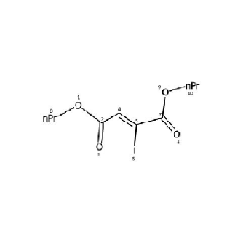 CCCOC(=O)C=C(I)C(=O)OCCC